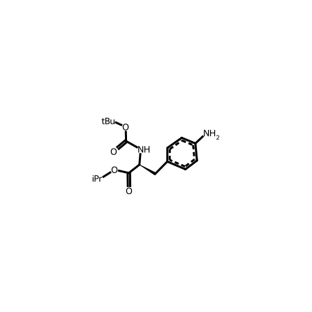 CC(C)OC(=O)[C@H](Cc1ccc(N)cc1)NC(=O)OC(C)(C)C